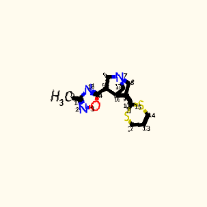 Cc1noc(C2CN3CC(=C4SCCCS4)C2C3)n1